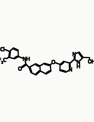 O=C(Nc1ccc(Cl)c(C(F)(F)F)c1)c1ccc2ccc(Oc3ccnc(-c4ncc(CO)[nH]4)c3)cc2c1